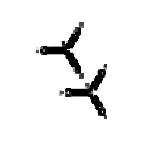 O=S(=O)=O.O=S(=O)=O